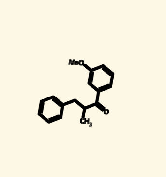 COc1cccc(C(=O)C(C)Cc2ccccc2)c1